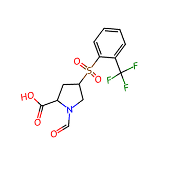 O=CN1CC(S(=O)(=O)c2ccccc2C(F)(F)F)CC1C(=O)O